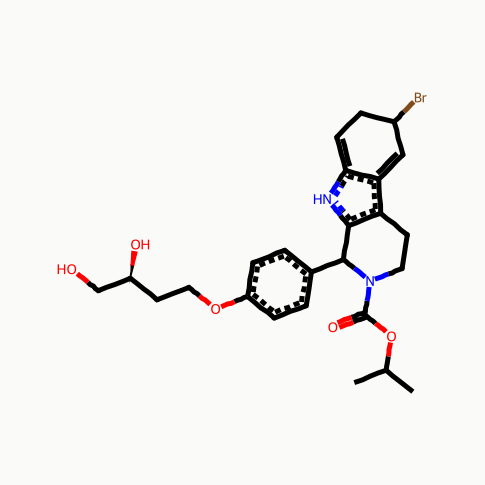 CC(C)OC(=O)N1CCc2c([nH]c3c2=CC(Br)CC=3)C1c1ccc(OCC[C@H](O)CO)cc1